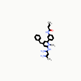 C/C=C/C(=O)Nc1cccc(C2C=C(Cc3ccccc3)C=C(NC(N)/C=C(/C)N)N2C)c1